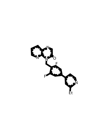 CCc1cc(-c2cc(F)c(Cn3c(=O)cnc4cccnc43)c(F)c2)ccn1